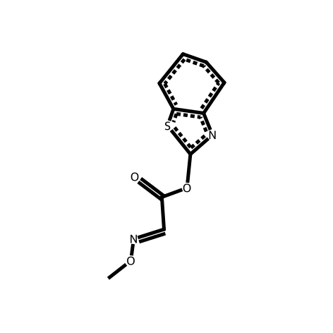 CON=CC(=O)Oc1nc2ccccc2s1